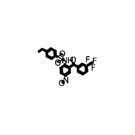 CCc1ccc(S(=O)(=O)Nc2ccc(N=O)cc2C(=O)c2cccc(C(F)(F)F)c2)cc1